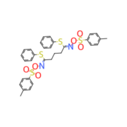 Cc1ccc(S(=O)(=O)ON=C(CCCC(=NOS(=O)(=O)c2ccc(C)cc2)Sc2ccccc2)Sc2ccccc2)cc1